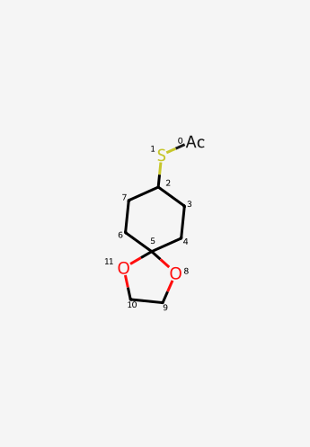 CC(=O)SC1CCC2(CC1)OCCO2